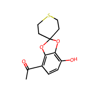 CC(=O)c1ccc(O)c2c1OC1(CCSCC1)O2